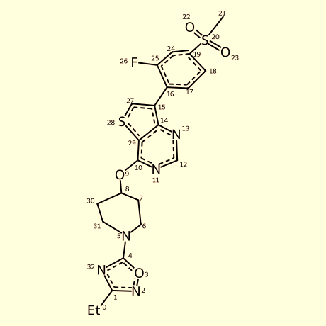 CCc1noc(N2CCC(Oc3ncnc4c(-c5ccc(S(C)(=O)=O)cc5F)csc34)CC2)n1